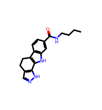 CCCCNC(=O)c1ccc2c3c([nH]c2c1)-c1[nH]ncc1CC3